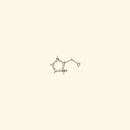 Cl[CH]c1ncc[nH]1